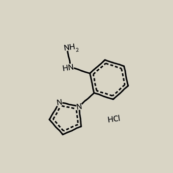 Cl.NNc1ccccc1-n1cccn1